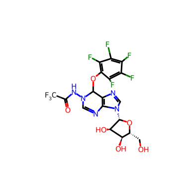 O=C(NN1C=Nc2c(ncn2[C@@H]2O[C@H](CO)[C@@H](O)[C@H]2O)C1Oc1c(F)c(F)c(F)c(F)c1F)C(F)(F)F